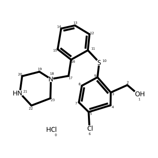 Cl.OCc1cc(Cl)ccc1Sc1ccccc1CN1CCNCC1